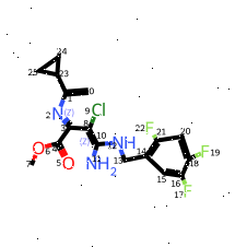 C=C(/N=C(C(=O)OC)\C(Cl)=C(/N)NCc1cc(F)c(F)cc1F)C1CC1